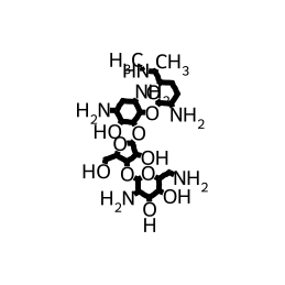 CNC(C)C1CCC(N)C(OC2C(N)CC(N)C(O)C2OC2OC(CO)C(OC3OC(CN)C(O)C(O)C3N)C2O)O1